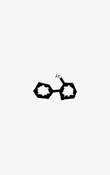 [CH2]C(=O)c1ccccc1-c1ccccc1